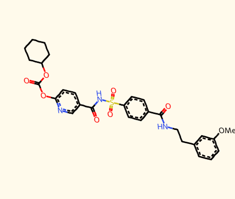 COc1cccc(CCNC(=O)c2ccc(S(=O)(=O)NC(=O)c3ccc(OC(=O)OC4CCCCC4)nc3)cc2)c1